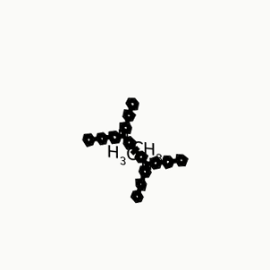 CC(C)(c1ccc(N(c2ccc(-c3ccc(-c4ccccc4)cc3)cc2)c2ccc(-c3ccc(-c4ccccc4)cc3)cc2)cc1)c1ccc(N(c2ccc(-c3ccc(-c4ccccc4)cc3)cc2)c2ccc(-c3ccc(-c4ccccc4)cc3)cc2)cc1